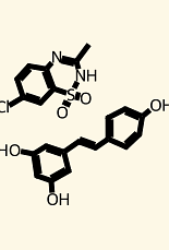 CC1=Nc2ccc(Cl)cc2S(=O)(=O)N1.Oc1ccc(/C=C/c2cc(O)cc(O)c2)cc1